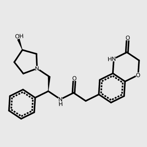 O=C1COc2ccc(CC(=O)N[C@H](CN3CC[C@@H](O)C3)c3ccccc3)cc2N1